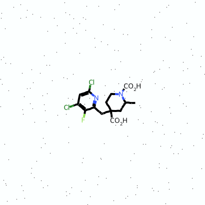 CC1CC(Cc2nc(Cl)cc(Cl)c2F)(C(=O)O)CCN1C(=O)O